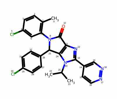 Cc1ccc(Cl)cc1N1C(=O)c2nc(-c3ccnnc3)n(C(C)C)c2C1c1ccc(Cl)cc1